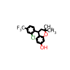 CC1(C)CC(c2ccc(C(F)(F)F)cc2Cl)c2ccc(O)cc2O1